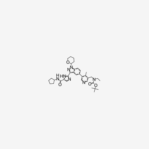 CCN(Cc1cncc(-c2ccc3c(c2)c(-c2ncc(C(=O)NC4CCCC4)[nH]2)nn3C2CCCCO2)c1C)C(=O)OC(C)(C)C